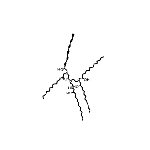 C#CC#CC#CC#CC#CC#CC(O)CN(CCN(CCNCC(O)CCCCCCCCCCCC)CCN(CC(O)CCCCCCCCCCCC)CC(O)CCCCCCCCCCCC)CC(O)CCCCCCCCCCCC